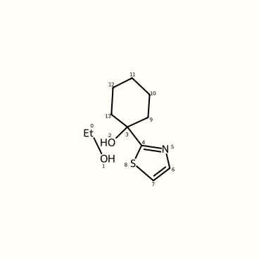 CCO.OC1(c2nccs2)CCCCC1